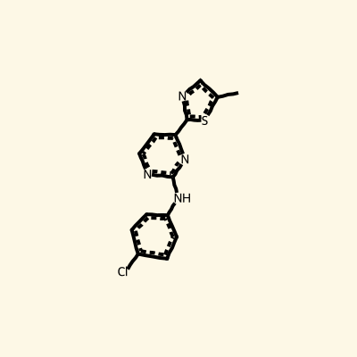 Cc1cnc(-c2ccnc(Nc3ccc(Cl)cc3)n2)s1